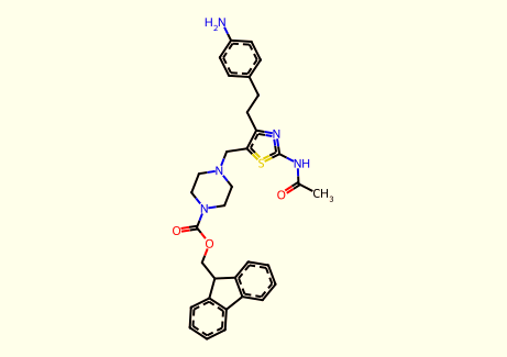 CC(=O)Nc1nc(CCc2ccc(N)cc2)c(CN2CCN(C(=O)OCC3c4ccccc4-c4ccccc43)CC2)s1